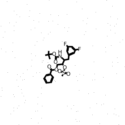 CC(C)(C)OC(=O)NC(Cc1cc(F)cc(F)c1)C(COC(=O)c1ccccc1)OS(C)(=O)=O